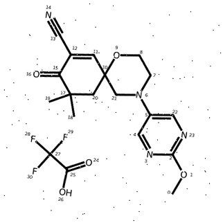 COc1ncc(N2CCOC3(C=C(C#N)C(=O)C(C)(C)C3)C2)cn1.O=C(O)C(F)(F)F